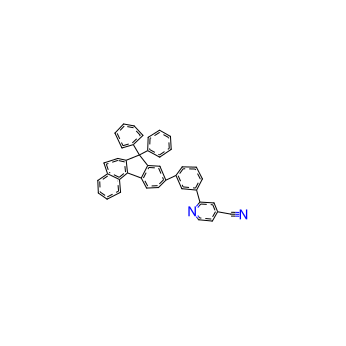 N#Cc1ccnc(-c2cccc(-c3ccc4c(c3)C(c3ccccc3)(c3ccccc3)c3ccc5ccccc5c3-4)c2)c1